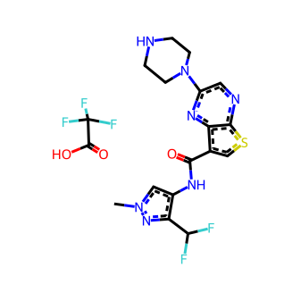 Cn1cc(NC(=O)c2csc3ncc(N4CCNCC4)nc23)c(C(F)F)n1.O=C(O)C(F)(F)F